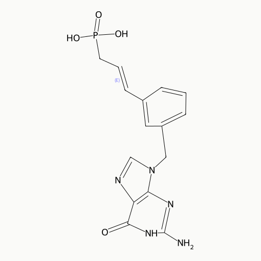 Nc1nc2c(ncn2Cc2cccc(/C=C/CP(=O)(O)O)c2)c(=O)[nH]1